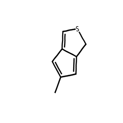 CC1=CC2=CSCC2=C1